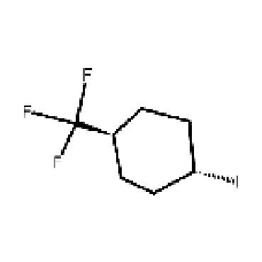 FC(F)(F)[C@H]1CC[C@H](I)CC1